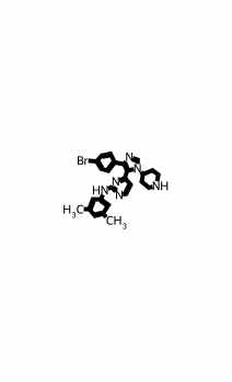 Cc1cc(C)cc(Nc2nccc(-c3c(-c4ccc(Br)cc4)ncn3C3CCNCC3)n2)c1